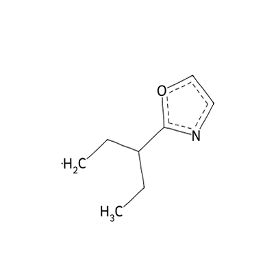 [CH2]CC(CC)c1ncco1